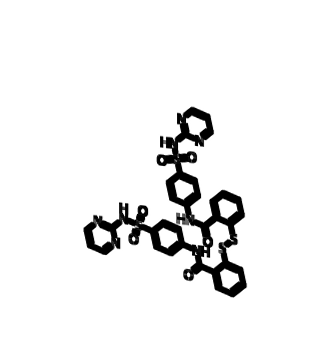 O=C(Nc1ccc(S(=O)(=O)Nc2ncccn2)cc1)c1ccccc1SSc1ccccc1C(=O)Nc1ccc(S(=O)(=O)Nc2ncccn2)cc1